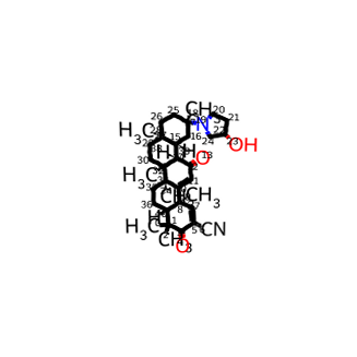 CC1(C)C(=O)C(C#N)=C[C@]2(C)C3=CC(=O)[C@@H]4[C@@H]5C[C@@](C)(N6CCC(O)C6)CC[C@]5(C)CC[C@@]4(C)[C@]3(C)CC[C@@H]12